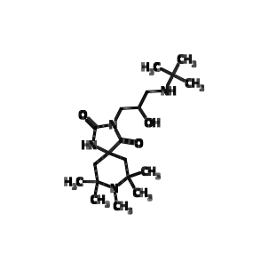 CN1C(C)(C)CC2(CC1(C)C)NC(=O)N(CC(O)CNC(C)(C)C)C2=O